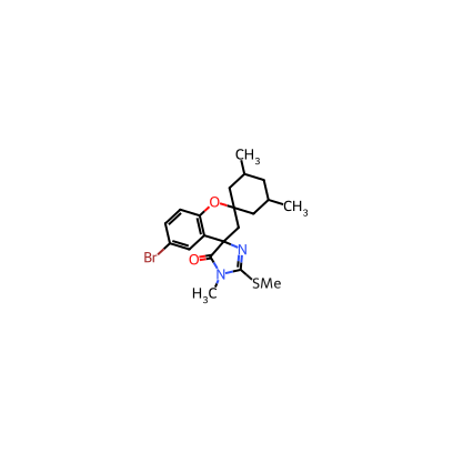 CSC1=NC2(CC3(CC(C)CC(C)C3)Oc3ccc(Br)cc32)C(=O)N1C